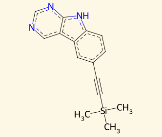 C[Si](C)(C)C#Cc1ccc2[nH]c3ncncc3c2c1